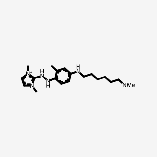 CNCCCCCCNc1ccc(NNc2n(C)cc[n+]2C)c(C)c1